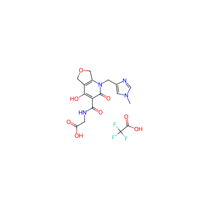 Cn1cnc(Cn2c3c(c(O)c(C(=O)NCC(=O)O)c2=O)COC3)c1.O=C(O)C(F)(F)F